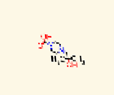 CC(C)(O)CN1CCN(C(=O)O)CC1